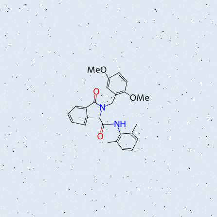 COc1ccc(OC)c(CN2C(=O)c3ccccc3C2C(=O)Nc2c(C)cccc2C)c1